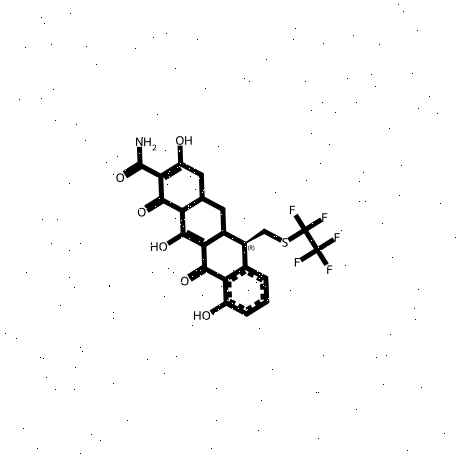 NC(=O)C1=C(O)CC2CC3C(=C(O)C2C1=O)C(=O)c1c(O)cccc1[C@@H]3CSC(F)(F)C(F)(F)F